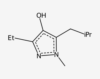 CCc1nn(C)c(CC(C)C)c1O